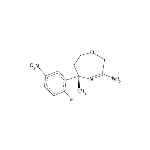 C[C@@]1(c2cc([N+](=O)[O-])ccc2F)CCOCC(N)=N1